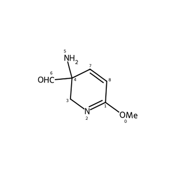 COC1=NCC(N)(C=O)C=C1